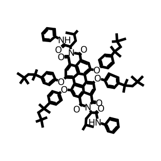 CC(C)CC(C(=O)Nc1ccccc1)N1C(=O)c2cc(Oc3ccc(C(C)(C)CC(C)(C)C)cc3)c3c4c(Oc5ccc(C(C)(C)CC(C)(C)C)cc5)cc5c6c(cc(Oc7ccc(C(C)(C)CC(C)(C)C)cc7)c(c7c(Oc8ccc(C(C)(C)CC(C)(C)C)cc8)cc(c2c37)C1=O)c64)C(=O)N(C(CC(C)C)C(=O)Nc1ccccc1)C5=O